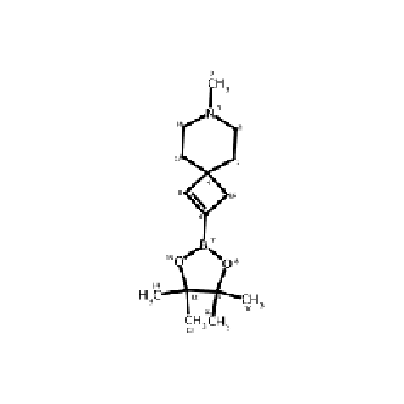 CN1CCC2(C=C(B3OC(C)(C)C(C)(C)O3)C2)CC1